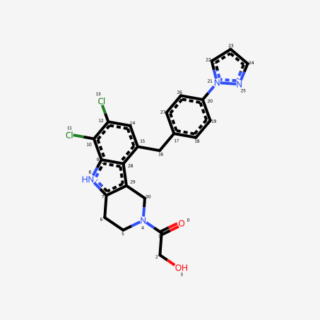 O=C(CO)N1CCc2[nH]c3c(Cl)c(Cl)cc(Cc4ccc(-n5cccn5)cc4)c3c2C1